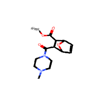 CCCCCCCOC(=O)C1C2C=CC(O2)C1C(=O)N1CCN(C)CC1